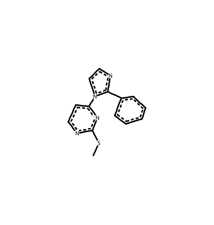 CSc1nccc(-n2ccnc2-c2ccccc2)n1